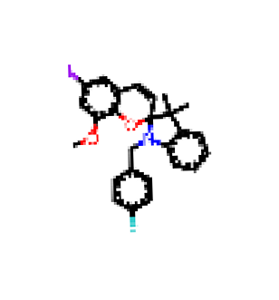 COc1cc(I)cc2c1OC1(C=C2)N(Cc2ccc(F)cc2)c2ccccc2C1(C)C